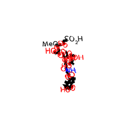 COC(COC(=O)CCC(=O)O)OCC(CO)OC(COC(=O)CCC(=O)NCC(=O)O[C@@H]1C2=C(C)C3(CC3)[C@@](C)(O)C(=O)C2=CC1(C)C)OCC(CO)OC(CO)OCC(C)CO